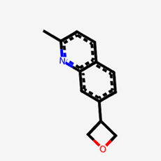 Cc1ccc2ccc(C3COC3)cc2n1